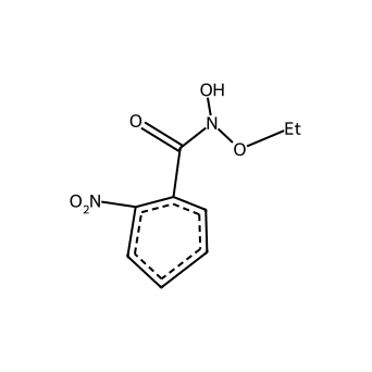 CCON(O)C(=O)c1ccccc1[N+](=O)[O-]